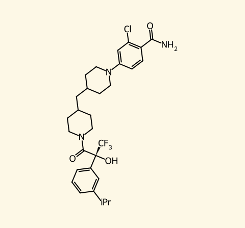 CC(C)c1cccc([C@@](O)(C(=O)N2CCC(CC3CCN(c4ccc(C(N)=O)c(Cl)c4)CC3)CC2)C(F)(F)F)c1